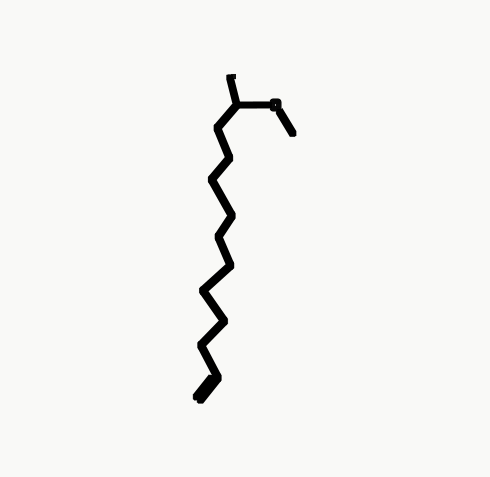 [CH2]C(CCCCCCCCCC=C)OC